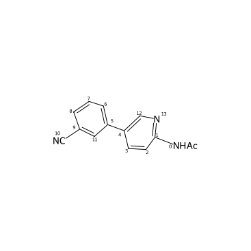 CC(=O)Nc1ccc(-c2cccc(C#N)c2)cn1